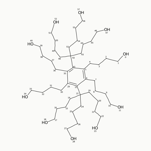 OCCCCc1c(CCCCO)c(C(CCCCO)(CCCCO)CCCCO)c(CCCCO)c(CCCCO)c1C(CCCCO)(CCCCO)CCCCO